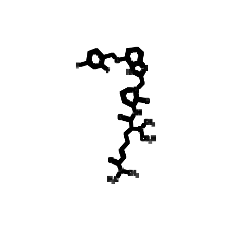 CN(C)C(=O)C=CCCC(C(=O)Nc1cccn(Cc2nc3cccc(OCc4ccc(F)cc4F)c3[nH]2)c1=O)N(C)C(=O)O